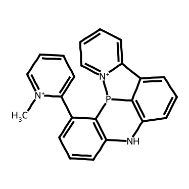 C[n+]1ccccc1-c1cccc2c1-p1c3c(cccc3c3cccc[n+]31)N2